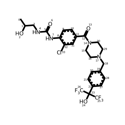 CC(O)CNC(=O)Nc1ccc(C(=O)N2CCN(Cc3ccc(C(O)(C(F)(F)F)C(F)(F)F)cc3)CC2)cc1Cl